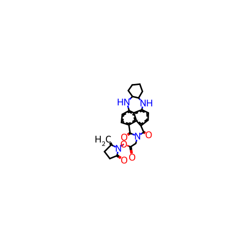 C=C1CCC(=O)N1OC(=O)CN1C(=O)c2ccc3c4c(ccc(c24)C1=O)NC1CCCCC1N3